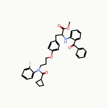 COC(=O)C(Cc1ccc(OCCCN(C(=O)C2CCC2)c2ccccc2F)cc1)Nc1ccccc1C(=O)c1ccccc1